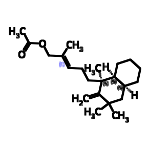 C=C1C(C)(C)C[C@@H]2CCCC[C@@H]2[C@]1(C)CC/C=C(\C)COC(C)=O